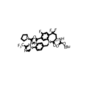 CC(C)(C)OC(=O)N[C@H]1CC(F)(F)c2cc(F)c(-c3nnc(N4CCCC4)o3)cc2N(Cc2ccc(-n3cnc(C(F)(F)F)n3)cc2)C1=O